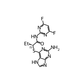 CC[C@H](Sc1nc(N)nc2nc[nH]c12)C(=O)Nc1nc(F)cc(F)n1